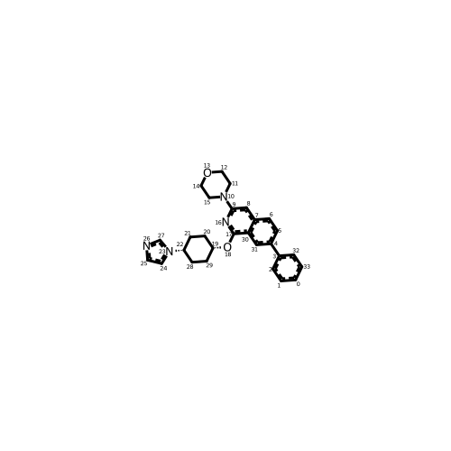 c1ccc(-c2ccc3cc(N4CCOCC4)nc(O[C@H]4CC[C@@H](n5ccnc5)CC4)c3c2)cc1